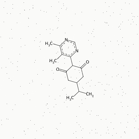 Cc1ncnc(C2C(=O)CC(C(C)C)CC2=O)c1C